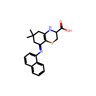 CC1(C)CC2=C(SCC(C(=O)O)N2)/C(=N/c2cccc3ccccc23)C1